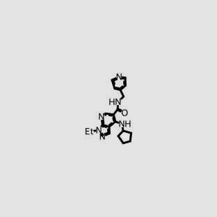 CCn1ncc2c(NC3CCCC3)c(C(=O)NCc3ccncc3)cnc21